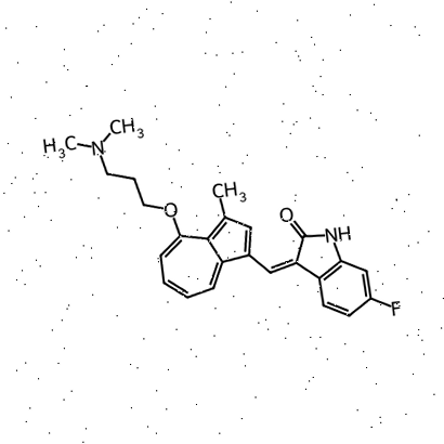 Cc1cc(C=C2C(=O)Nc3cc(F)ccc32)c2ccccc(OCCCN(C)C)c1-2